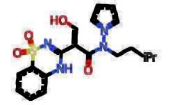 CC(C)CCN(C(=O)/C(=C/O)C1=NS(=O)(=O)c2ccccc2N1)n1cccc1